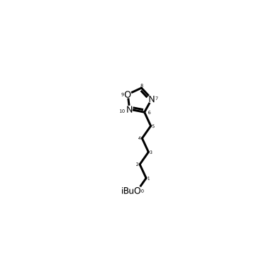 C[C](C)COCCCCCc1ncon1